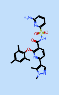 Cc1cc(C)c(Oc2nc(-c3cnn(C)c3C)ccc2C(=O)NS(=O)(=O)c2cccc(N)n2)c(C)c1